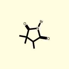 CC1C(=O)N(Br)C(=O)C1(C)C